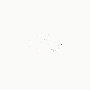 C=C(OC)C1OC(OC)C(C(C)CC(C)=O)C(OC)C1OC